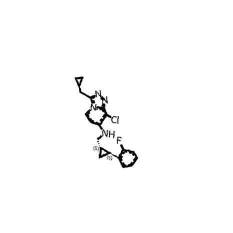 Fc1ccccc1[C@H]1C[C@@H]1CNc1ccn2c(CC3CC3)nnc2c1Cl